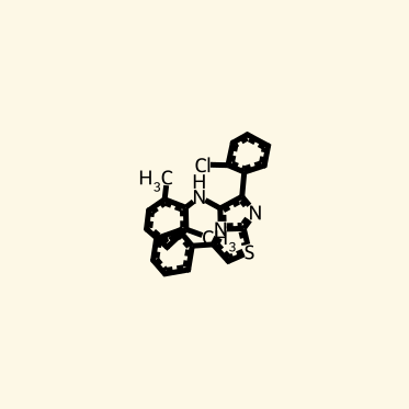 Cc1cccc(C)c1Nc1c(-c2ccccc2Cl)nc2scc(-c3ccccc3)n12